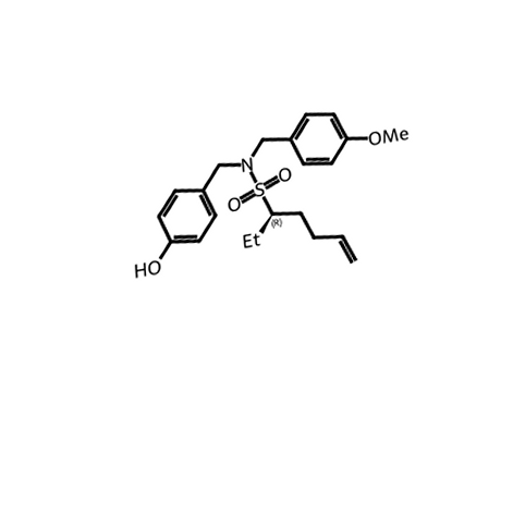 C=CCC[C@@H](CC)S(=O)(=O)N(Cc1ccc(O)cc1)Cc1ccc(OC)cc1